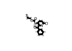 O=C(Nc1ccc(Cl)nc1C(=O)c1ccccc1)OCC=S